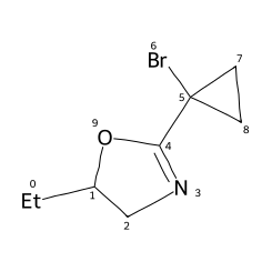 CCC1CN=C(C2(Br)CC2)O1